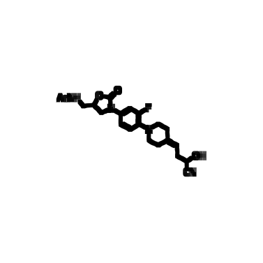 CC(=O)NCC1CN(c2ccc(N3CCC(=CCC(O)C#N)CC3)c(F)c2)C(=O)O1